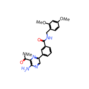 CNC(=O)c1nc(-c2cccc(C(=O)NCc3ccc(OC)cc3OC)c2)cnc1N